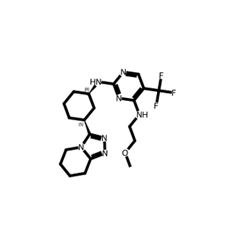 COCCNc1nc(N[C@@H]2CCC[C@H](c3nnc4n3CCCC4)C2)ncc1C(F)(F)F